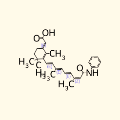 CC1=C(/C=C/C(C)=C/C=C/C(C)=C\C(=O)Nc2ccccc2)C(C)(C)CC/C1=C\C(=O)O